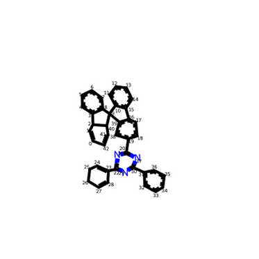 C1=CC2c3ccccc3C3(c4ccccc4-c4ccc(-c5nc(C6=CCCC=C6)nc(-c6ccccc6)n5)cc43)C2C=C1